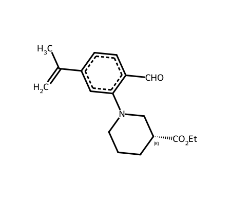 C=C(C)c1ccc(C=O)c(N2CCC[C@@H](C(=O)OCC)C2)c1